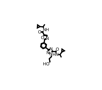 CC(NC(=O)c1cnc(-c2cccc(-c3nc(C(=O)NC(C)C4CC4)n(CCCO)n3)c2)o1)C1CC1